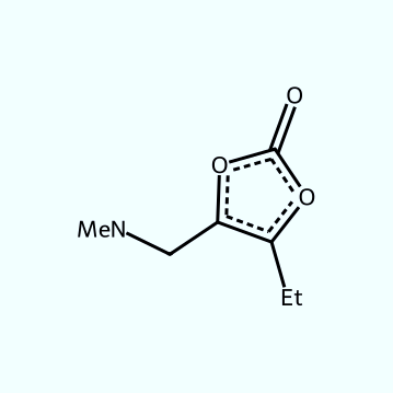 CCc1oc(=O)oc1CNC